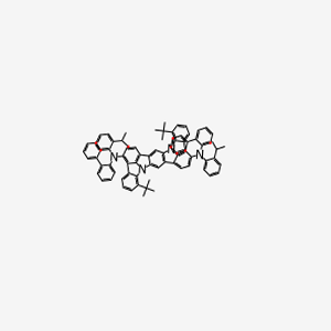 CC(C)c1ccccc1N(c1ccccc1-c1ccccc1)c1ccc2c3cc4c(cc3n3c5c(C(C)(C)C)cccc5c1c23)c1ccc(N(c2ccccc2-c2ccccc2)c2ccccc2C(C)C)c2c3cccc(C(C)(C)C)c3n4c12